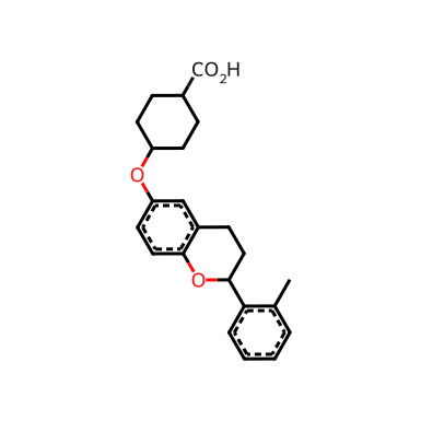 Cc1ccccc1C1CCc2cc(OC3CCC(C(=O)O)CC3)ccc2O1